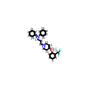 FC(F)(F)c1ccccc1OC1=CCN(CCCN(c2ccccc2)c2ccccc2)CC1